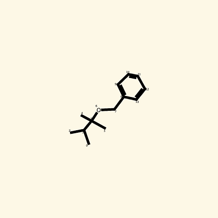 C[C](C)C(C)(C)OCc1ccccc1